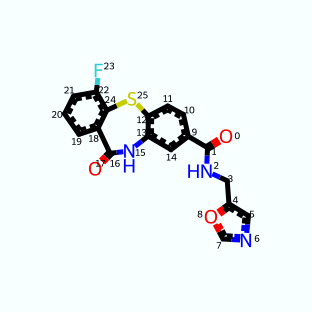 O=C(NCc1cnco1)c1ccc2c(c1)NC(=O)c1cccc(F)c1S2